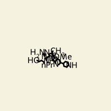 CCCC(CCO)Nc1nc(N)nc2c(C)nn(Cc3ncc(C4CCNCC4)cc3OC)c12